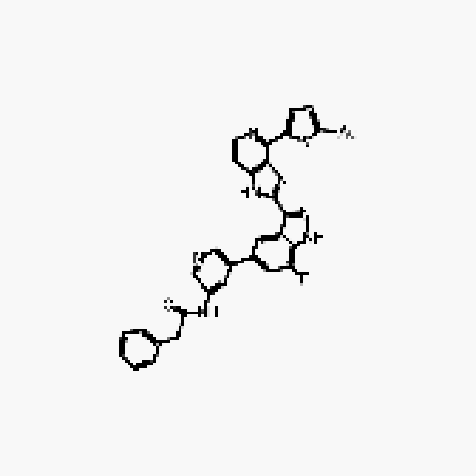 CC(=O)c1ccc(-c2nccc3[nH]c(-c4n[nH]c5c(F)cc(-c6cncc(NC(=O)Cc7ccccc7)c6)cc45)nc23)s1